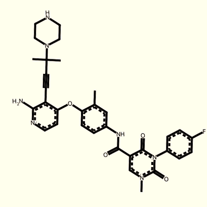 Cc1cc(NC(=O)c2cn(C)c(=O)n(-c3ccc(F)cc3)c2=O)ccc1Oc1ccnc(N)c1C#CC(C)(C)N1CCNCC1